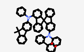 CC1(C)c2ccccc2-c2ccc(N(c3ccccc3)c3cccc4c3-c3ccccc3C43c4ccccc4-c4ccc(N(c5ccccc5)c5ccccc5-c5ccccc5)cc43)cc21